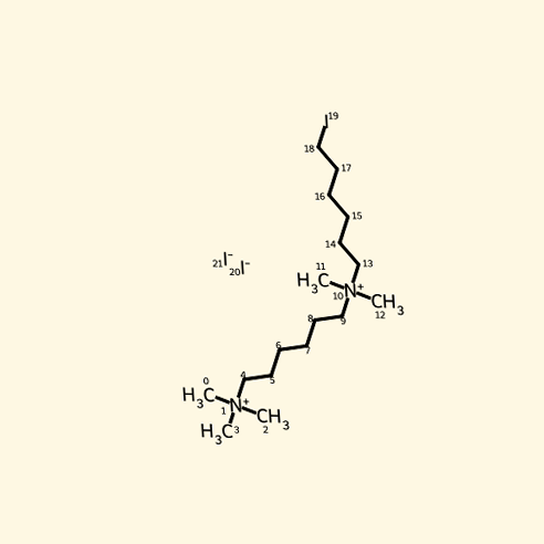 C[N+](C)(C)CCCCCC[N+](C)(C)CCCCCCI.[I-].[I-]